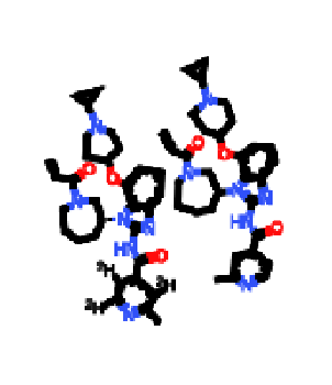 C=CC(=O)N1CCCCC(n2c(NC(=O)c3ccnc(C)c3)nc3cccc(OC4CCN(C5CC5)CC4)c32)C1.[2H]c1nc(C)c([2H])c(C(=O)Nc2nc3cccc(OC4CCN(C5CC5)CC4)c3n2[C@@H]2CCCCN(C(=O)C=C)C2)c1[2H]